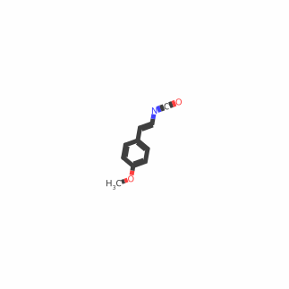 COc1ccc(C=CN=C=O)cc1